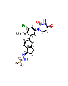 COc1c(Br)cc(-n2ccc(=O)[nH]c2=O)cc1-c1ccc2c(c1)CCC2=NNS(C)(=O)=O